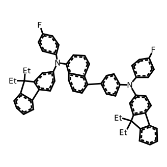 CCC1(CC)c2ccccc2-c2ccc(N(c3ccc(F)cc3)c3ccc(-c4cccc5c(N(c6ccc(F)cc6)c6ccc7c(c6)C(CC)(CC)c6ccccc6-7)cccc45)cc3)cc21